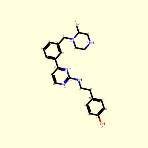 CC(C)C1CNCCN1Cc1cccc(-c2ccnc(NCCc3ccc(O)cc3)n2)c1